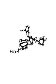 OCCNc1cc(F)c(Nc2ccc(OCc3ccccc3)nc2OCc2ccccc2)cc1F